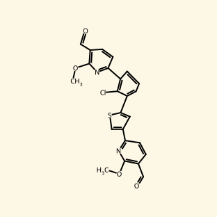 COc1nc(-c2csc(-c3cccc(-c4ccc(C=O)c(OC)n4)c3Cl)c2)ccc1C=O